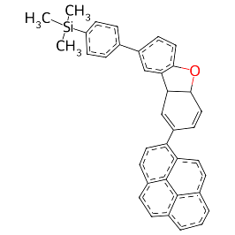 C[Si](C)(C)c1ccc(-c2ccc3c(c2)C2C=C(c4ccc5ccc6cccc7ccc4c5c67)C=CC2O3)cc1